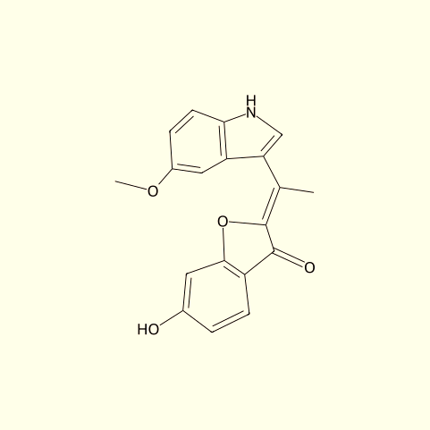 COc1ccc2[nH]cc(C(C)=C3Oc4cc(O)ccc4C3=O)c2c1